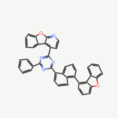 c1ccc(-c2nc(-c3cccc4c(-c5cccc6oc7ccccc7c56)cccc34)nc(-c3ccnc4oc5ccccc5c34)n2)cc1